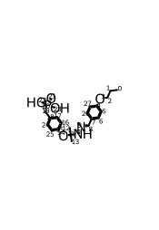 CCCOc1ccc(/C=N/NC(C)(C)Oc2ccc(CP(=O)(O)O)cc2)cc1